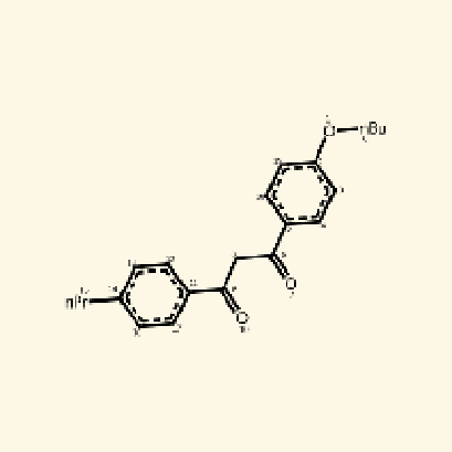 CCCCOc1ccc(C(=O)CC(=O)c2ccc(CCC)cc2)cc1